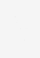 CC(=O)CC(=O)OC(Cl)C(C)=O